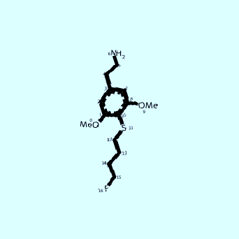 COc1cc(CCN)cc(OC)c1SCCCCF